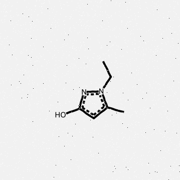 CCn1nc(O)cc1C